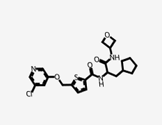 O=C(NC(CC1CCCC1)C(=O)NC1COC1)c1ccc(COc2cncc(Cl)c2)s1